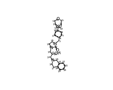 O=C1N(Cc2ccc(N3C4CCC3COC4)cc2)CCN1CC(O)CN1CCc2ccccc2C1